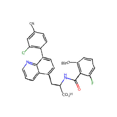 COc1cccc(F)c1C(=O)NC(Cc1ccc(-c2ccc(C#N)cc2Cl)c2ncccc12)C(=O)O